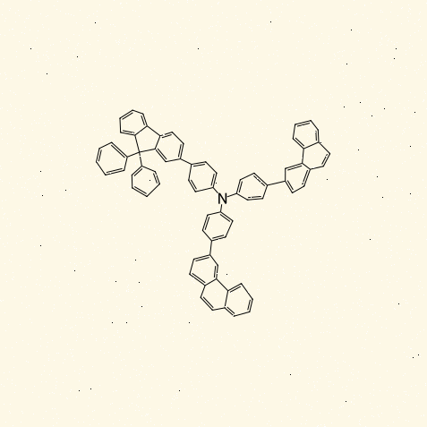 c1ccc(C2(c3ccccc3)c3ccccc3-c3ccc(-c4ccc(N(c5ccc(-c6ccc7ccc8ccccc8c7c6)cc5)c5ccc(-c6ccc7ccc8ccccc8c7c6)cc5)cc4)cc32)cc1